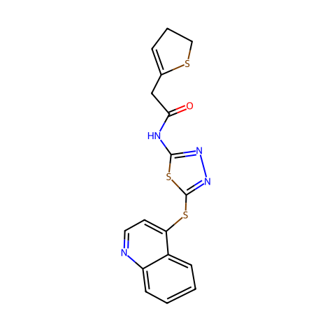 O=C(CC1=CCCS1)Nc1nnc(Sc2ccnc3ccccc23)s1